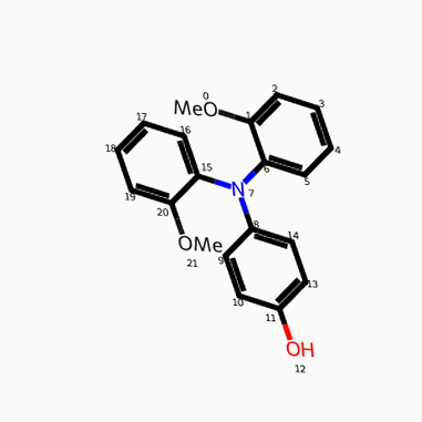 COc1ccccc1N(c1ccc(O)cc1)c1ccccc1OC